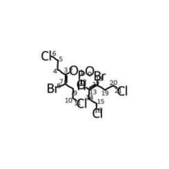 O=[PH](OC(CCCl)=C(Br)CCCl)OC(CCCl)=C(Br)CCCl